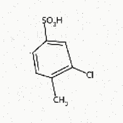 Cc1c[c]c(S(=O)(=O)O)cc1Cl